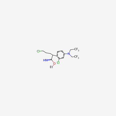 CCOC(=N)C(CCCCl)c1ccc(N(CC(F)(F)F)CC(F)(F)F)cc1Cl